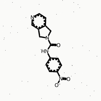 O=C(Nc1ccc([N+](=O)[O-])cc1)N1Cc2ccncc2C1